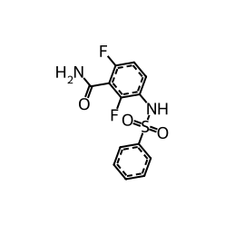 NC(=O)c1c(F)ccc(NS(=O)(=O)c2ccccc2)c1F